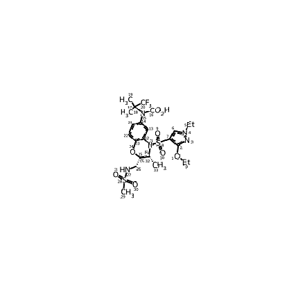 CCOc1nn(CC)cc1S(=O)(=O)N1c2cc(N(C(=O)O)C(C)(C)C(F)(F)F)ccc2O[C@@H](CNS(C)(=O)=O)[C@H]1C